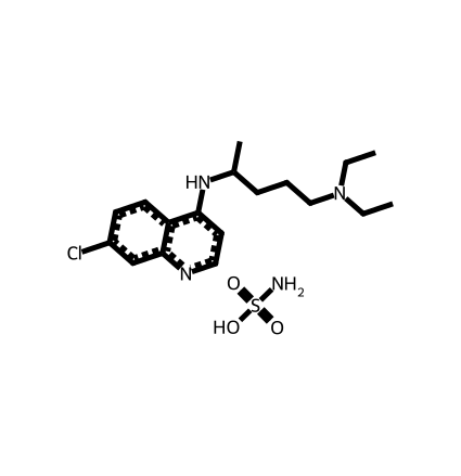 CCN(CC)CCCC(C)Nc1ccnc2cc(Cl)ccc12.NS(=O)(=O)O